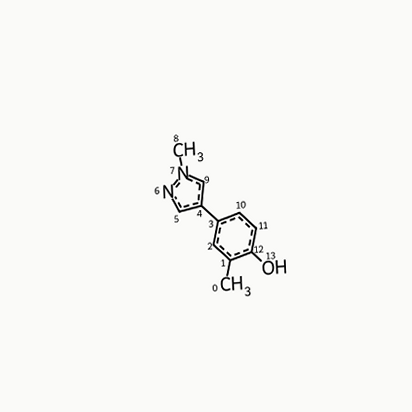 Cc1cc(-c2cnn(C)c2)ccc1O